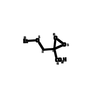 CCOCC1(C(=O)O)OO1